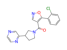 O=C(c1cnoc1-c1ccccc1Cl)N1CCC(c2cnccn2)C1